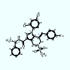 C[C@@H](NC(=O)c1nn(-c2ccc(Cl)cc2Cl)c2c1CN(S(C)(=O)=O)C/C2=C\c1ccc(F)cc1)c1ccccc1